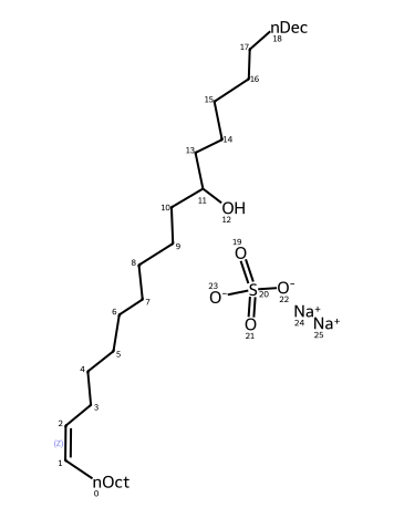 CCCCCCCC/C=C\CCCCCCCCC(O)CCCCCCCCCCCCCCC.O=S(=O)([O-])[O-].[Na+].[Na+]